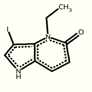 CCn1c(=O)ccc2[nH]cc(I)c21